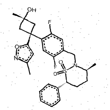 Cc1cc([C@]2(c3cc(F)c(CN4[C@@H](C)CC[C@H](c5ccccc5)S4(=O)=O)cc3F)C[C@@](C)(O)C2)on1